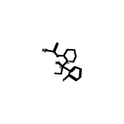 CC[C@@](O)(c1ccccc1F)[C@H]1CCCCC1OC(N)=O